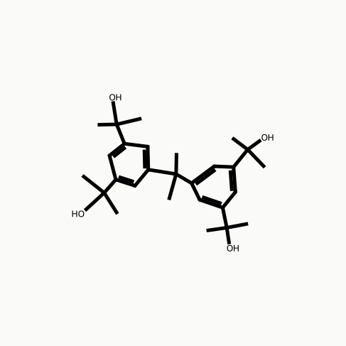 CC(C)(O)c1cc(C(C)(C)O)cc(C(C)(C)c2cc(C(C)(C)O)cc(C(C)(C)O)c2)c1